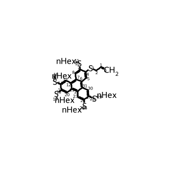 C=CCSc1cc2c(cc1SCCCCCC)c1cc(SCCCCCC)c(SCCCCCC)cc1c1cc(SCCCCCC)c(SCCCCCC)cc21